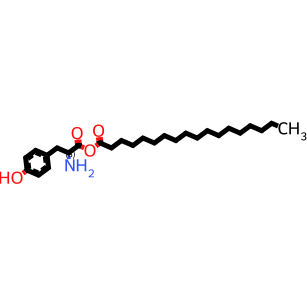 CCCCCCCCCCCCCCCCCC(=O)OC(=O)[C@@H](N)Cc1ccc(O)cc1